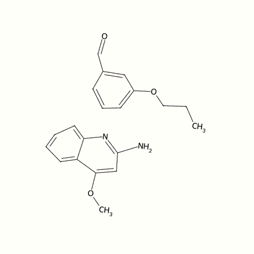 CCCOc1cccc(C=O)c1.COc1cc(N)nc2ccccc12